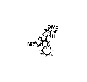 COC(=O)[C@@H](NC(=O)c1cc2c(n(CCC#N)c1=O)CCCCCC2)C(C)C